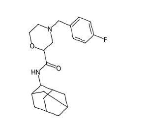 O=C(NC1C2CC3CC(C2)CC1C3)C1CN(Cc2ccc(F)cc2)CCO1